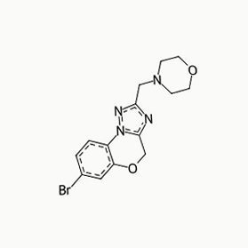 Brc1ccc2c(c1)OCc1nc(CN3CCOCC3)nn1-2